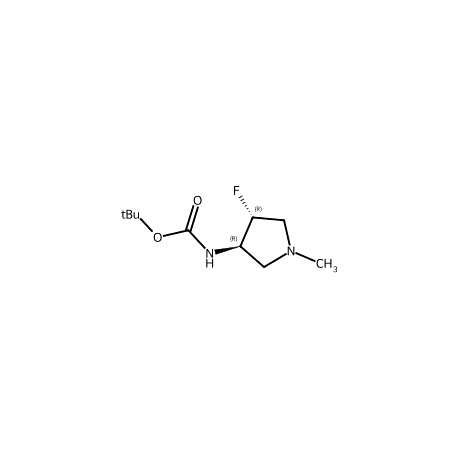 CN1C[C@@H](F)[C@H](NC(=O)OC(C)(C)C)C1